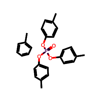 Cc1ccc(OP(=O)(Oc2ccc(C)cc2)Oc2ccc(C)cc2)cc1.Cc1ccccc1